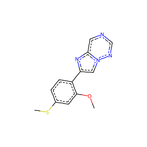 COc1cc(SC)ccc1-c1cn2ncncc2n1